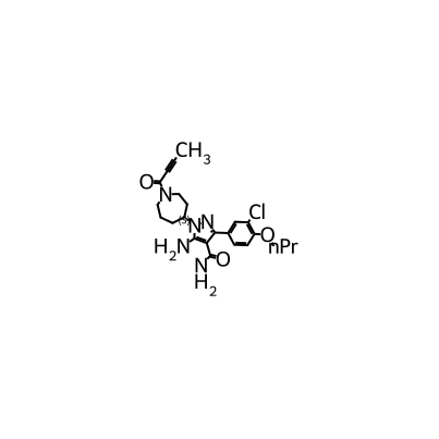 CC#CC(=O)N1CCC[C@H](n2nc(-c3ccc(OCCC)c(Cl)c3)c(C(N)=O)c2N)CC1